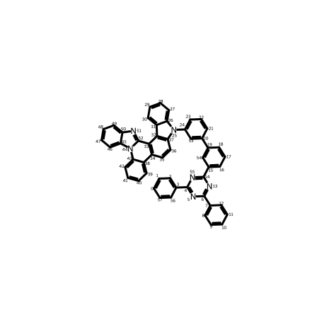 c1ccc(-c2nc(-c3ccccc3)nc(-c3cccc(-c4cccc(-n5c6ccccc6c6c7c(ccc65)c5ccccc5n5c6ccccc6nc75)c4)c3)n2)cc1